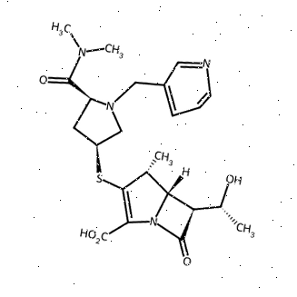 C[C@@H](O)[C@H]1C(=O)N2C(C(=O)O)=C(S[C@H]3C[C@@H](C(=O)N(C)C)N(Cc4cccnc4)C3)[C@H](C)[C@H]12